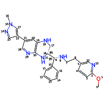 COc1ccc(CCN[C@H](c2ccccc2)[C@H]2CNc3cc(-c4cnn(C)c4)cnc3N2)cn1